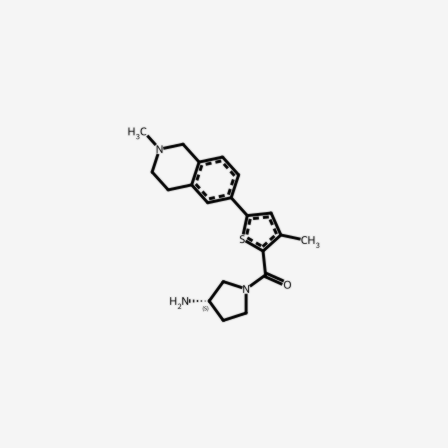 Cc1cc(-c2ccc3c(c2)CCN(C)C3)sc1C(=O)N1CC[C@H](N)C1